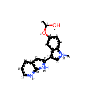 CC(O)Oc1ccc2c(c1)c(-c1cc3cccnc3[nH]1)cn2C